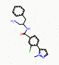 Cn1nccc1-c1ccc(C(=O)NC(CN)Cc2ccccc2)cc1F